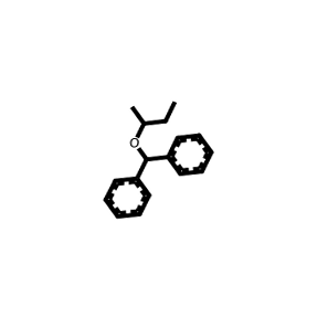 CCC(C)OC(c1ccccc1)c1ccccc1